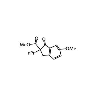 CCCC1(C(=O)OC)Cc2ccc(OC)cc2C1=O